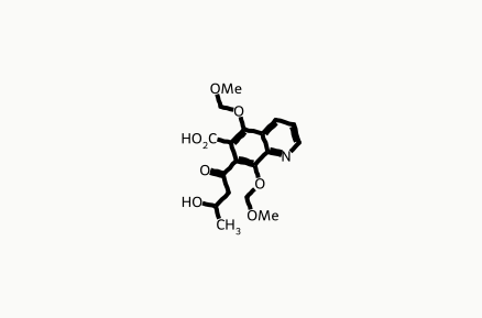 COCOc1c(C(=O)O)c(C(=O)CC(C)O)c(OCOC)c2ncccc12